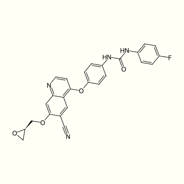 N#Cc1cc2c(Oc3ccc(NC(=O)Nc4ccc(F)cc4)cc3)ccnc2cc1OC[C@H]1CO1